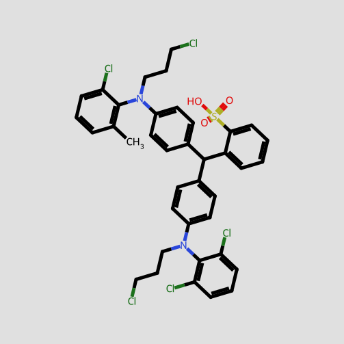 Cc1cccc(Cl)c1N(CCCCl)c1ccc(C(c2ccc(N(CCCCl)c3c(Cl)cccc3Cl)cc2)c2ccccc2S(=O)(=O)O)cc1